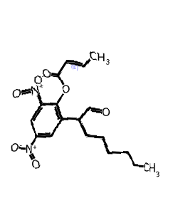 C/C=C/C(=O)Oc1c(C(C=O)CCCCCC)cc([N+](=O)[O-])cc1[N+](=O)[O-]